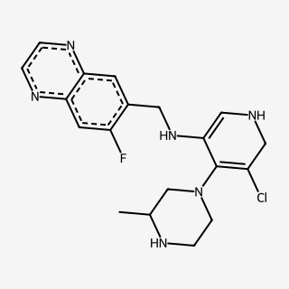 CC1CN(C2=C(Cl)CNC=C2NCc2cc3nccnc3cc2F)CCN1